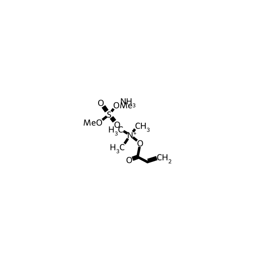 C=CC(=O)O[N+](C)(C)C.COS(=O)(=O)OC.N